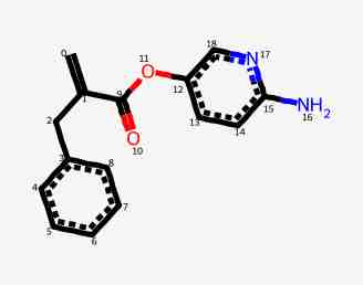 C=C(Cc1ccccc1)C(=O)Oc1ccc(N)nc1